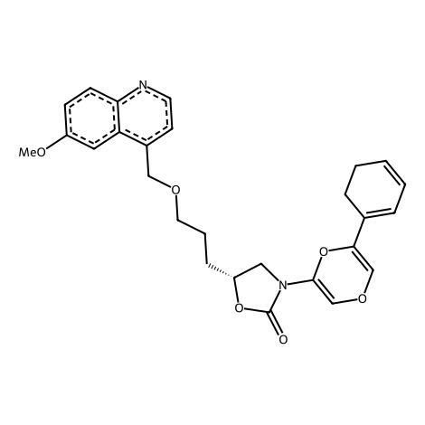 COc1ccc2nccc(COCCC[C@@H]3CN(C4=COC=C(C5=CC=CCC5)O4)C(=O)O3)c2c1